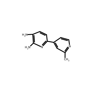 Cc1cc(-c2ccc(N)c(N)n2)ccn1